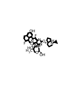 C#Cc1c(F)ccc2cc(O)cc(-c3nc(OC)c4c(N5C[C@H](CO)OC[C@@](C)(O)C5)nc(OC[C@]56CCC[C@H]5N(C5CC5)CCC6)nc4c3F)c12